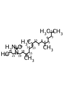 CC(C)CCCC(C)CCCC(C)CCCC(C)CCN(CCO)C(N)=O